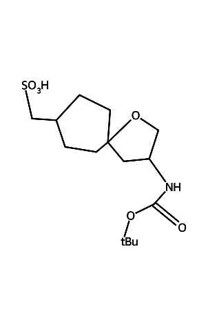 CC(C)(C)OC(=O)NC1COC2(CCC(CS(=O)(=O)O)CC2)C1